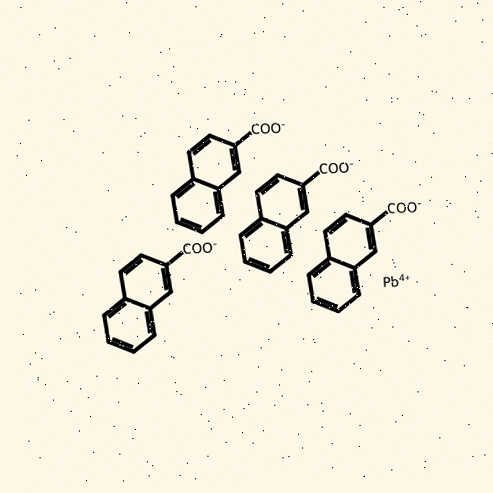 O=C([O-])c1ccc2ccccc2c1.O=C([O-])c1ccc2ccccc2c1.O=C([O-])c1ccc2ccccc2c1.O=C([O-])c1ccc2ccccc2c1.[Pb+4]